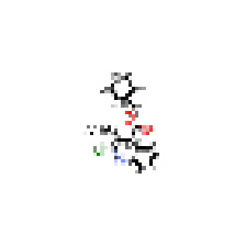 COc1c(Cl)nc2ccccc2c1C(=O)OCc1ccccc1